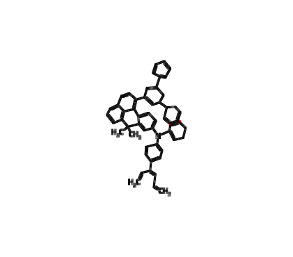 C=C/C=C(\C=C)c1ccc(N(C2=CCCC=C2)c2ccc3c(c2)C(C)(C)c2cccc4ccc(C5=CC(C6C=CC=CC6)CC(c6ccccc6)=C5)c-3c24)cc1